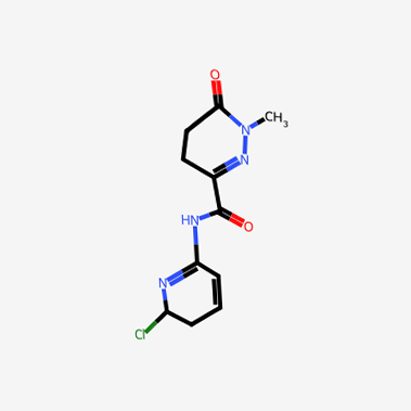 CN1N=C(C(=O)NC2=NC(Cl)CC=C2)CCC1=O